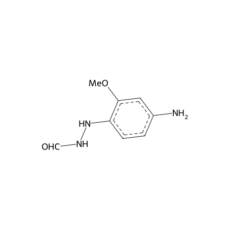 COc1cc(N)ccc1NNC=O